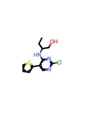 CCC(CO)Nc1nc(Cl)ncc1-c1cccs1